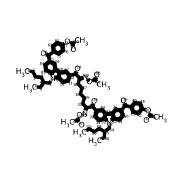 CCCCC(CC)Cn1c2ccc(C(=O)/C(CCCCC/C(=N\OC(C)=O)C(=O)c3ccc4c(c3)c3cc(C(=O)c5ccc(OC(C)=O)cc5)ccc3n4CC(CC)CCCC)=N/OC(C)=O)cc2c2cc(C(=O)c3ccc(OC(C)=O)cc3)ccc21